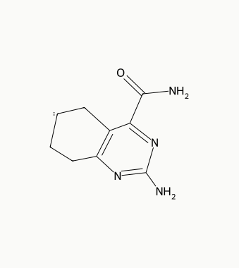 NC(=O)c1nc(N)nc2c1C[C]CC2